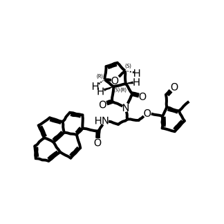 Cc1cccc(OCC(CNC(=O)c2ccc3ccc4cccc5ccc2c3c45)N2C(=O)[C@@H]3[C@H](C2=O)[C@H]2C=C[C@@H]3O2)c1C=O